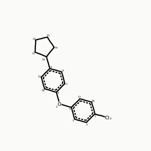 Clc1ccc(Oc2ccc(C3CCCC3)cc2)cc1